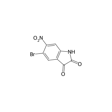 O=C1Nc2cc([N+](=O)[O-])c(Br)cc2C1=O